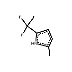 Cc1ccc(C(F)(F)F)[nH]1